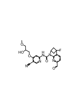 COCC(O)COc1cc(NC(=O)N2c3nc(C=O)ccc3C3(F)CC2C3)ncc1C#N